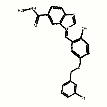 NNC(=O)c1ccc2c(c1)[N+](=Cc1cc(OCc3cccc(Cl)c3)ccc1O)C=N2